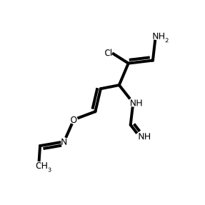 C/C=N/O/C=C/C(NC=N)/C(Cl)=C/N